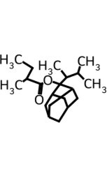 CCC(C)C(=O)OC1(C(C)C(C)C)C2CC3CC(C2)CC1C3